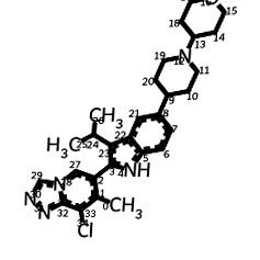 Cc1c(-c2[nH]c3ccc(C4CCN(C5CCOCC5)CC4)cc3c2C(C)C)cn2cnnc2c1Cl